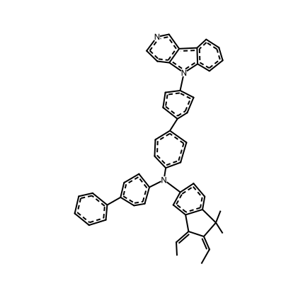 C/C=C1\C(=C/C)c2cc(N(c3ccc(-c4ccccc4)cc3)c3ccc(-c4ccc(-n5c6ccccc6c6cnccc65)cc4)cc3)ccc2C1(C)C